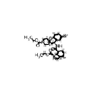 CCOC(=O)N1CCC2(CC1)C[C@H](NC(=O)c1cccc3cnn(C(=O)OCC)c13)c1cc(Br)ccc1O2